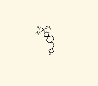 CC(C)(C)N1CC2(CCN(CC3COC3)CC2)C1